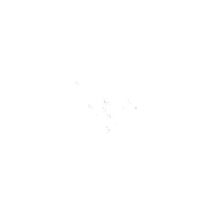 COc1nc(C)ccc1-c1cnc2sc(N3CCC(O)(CN)C3)nn12